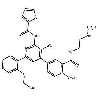 COCOc1ccccc1-c1cc(-c2ccc(OC)c(C(=O)NCCNC(=O)O)c2)c(C#N)c(NC(=O)c2cccs2)n1